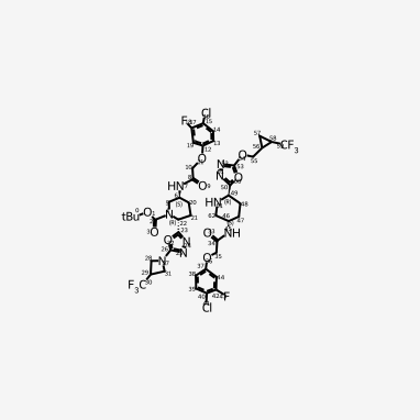 CC(C)(C)OC(=O)N1C[C@@H](NC(=O)COc2ccc(Cl)c(F)c2)CC[C@@H]1c1nnc(N2CC(C(F)(F)F)C2)o1.O=C(COc1ccc(Cl)c(F)c1)N[C@H]1CC[C@H](c2nnc(OCC3CC3C(F)(F)F)o2)NC1